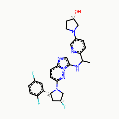 CC(Nc1cnc2ccc(N3C[C@@H](F)C[C@@H]3c3cc(F)ccc3F)nn12)c1ccc(N2CC[C@H](O)C2)cn1